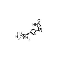 C[Si](C)(C)C#Cc1ccc(C2OCC23CNC(=O)C3)nc1